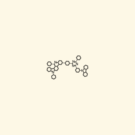 c1ccc(-c2nc(-c3ccc(-c4ccc5nc(-c6ccccc6)c6c(ccc7c6c6ccccc6n7-c6ccccc6)c5c4)cc3)nc(-c3cccc(-n4c5ccccc5c5ccccc54)c3)n2)cc1